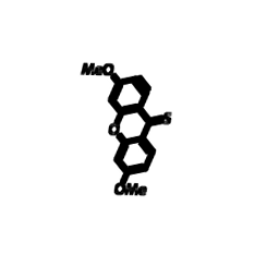 COc1c#cc2c(=S)c3ccc(OC)cc3oc2c1